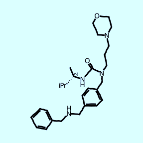 CC(C)[C@H](C)NC(=O)N(CCCN1CCOCC1)Cc1ccc(CNCc2ccccc2)cc1